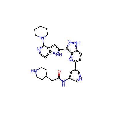 O=C(CC1CCNCC1)Nc1cncc(-c2ccc3[nH]nc(-c4cc5c(N6CCCCC6)nccc5[nH]4)c3n2)c1